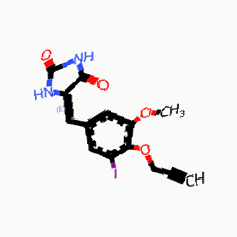 C#CCOc1c(I)cc(/C=C2/NC(=O)NC2=O)cc1OC